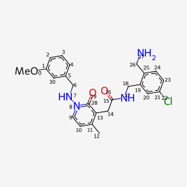 COc1cccc(CNn2ccc(C)c(CC(=O)NCc3cc(Cl)ccc3CN)c2=O)c1